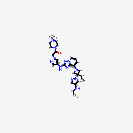 CN1CCN(C(=O)Cn2cc(Nc3nc4c(N5CC(CC#N)(n6cc(NCC(F)(F)F)cn6)C5)cccn4n3)cn2)CC1